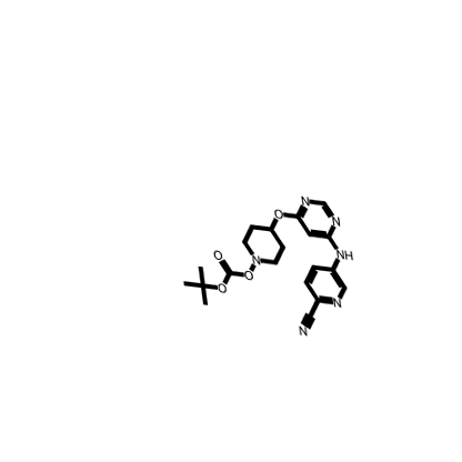 CC(C)(C)OC(=O)ON1CCC(Oc2cc(Nc3ccc(C#N)nc3)ncn2)CC1